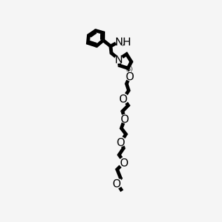 CNC(CN1CC[C@H](OCCOCCOCCOCCOCCOC)C1)c1ccccc1